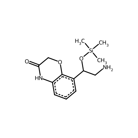 C[Si](C)(C)OC(CN)c1cccc2c1OCC(=O)N2